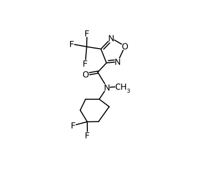 CN(C(=O)c1nonc1C(F)(F)F)C1CCC(F)(F)CC1